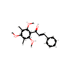 COc1c(C)c(OC)c(C(=O)/C=C/c2ccccc2)c(OC)c1C